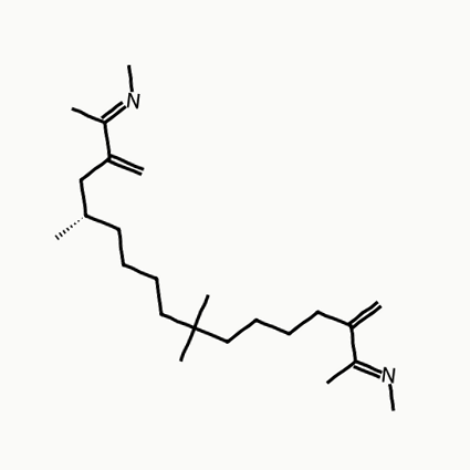 C=C(CCCCC(C)(C)CCCC[C@H](C)CC(=C)/C(C)=N/C)/C(C)=N/C